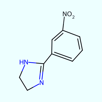 O=[N+]([O-])c1cccc(C2=NCCN2)c1